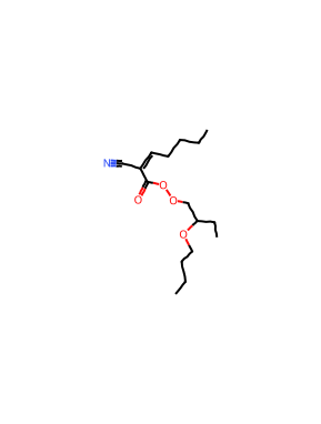 CCCCC=C(C#N)C(=O)OOCC(CC)OCCCC